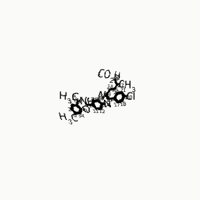 Cc1ccc([C@H](C)NC(=O)c2ccc3nc(-c4ccc(Cl)cc4)c(CCC(C)CC(=O)O)nc3c2)cc1